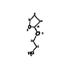 OCCOC1CCCO1